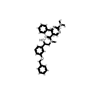 CN(CC(O)c1cccc(OCc2ccccc2)c1)C(=O)c1cnc(N(C)C)nc1-c1ccccc1